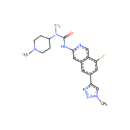 CN1CCC(N(C)C(=O)Nc2cc3cc(-c4cn(C)nn4)cc(F)c3cn2)CC1